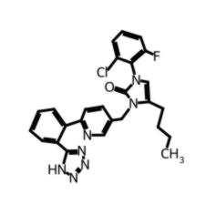 CCCCc1cn(-c2c(F)cccc2Cl)c(=O)n1Cc1ccc(-c2ccccc2-c2nnn[nH]2)nc1